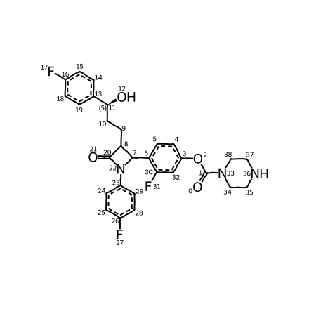 O=C(Oc1ccc(C2C(CC[C@H](O)c3ccc(F)cc3)C(=O)N2c2ccc(F)cc2)c(F)c1)N1CCNCC1